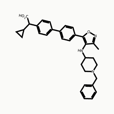 Cc1noc(-c2ccc(-c3ccc(C(C(=O)O)C4CC4)cc3)cc2)c1NC1CCN(Cc2ccccc2)CC1